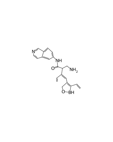 C=CC1=C(/C=C(\C=C)C(CN)C(=O)Nc2ccc3cnccc3c2)COB1